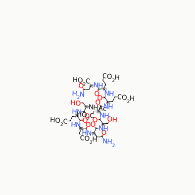 CC(=O)N[C@H](CO)C(=O)N[C@H](CCC(=O)O)C(=O)N[C@H](CC(=O)O)C(=O)N[C@H](CC(N)=O)C(=O)N[C@H](CO)C(=O)N[C@H](CC(=O)O)C(=O)N[C@H](CCC(=O)O)C(=O)N[C@H](CCC(=O)O)C(=O)N[C@H](CC(N)=O)C(=O)O